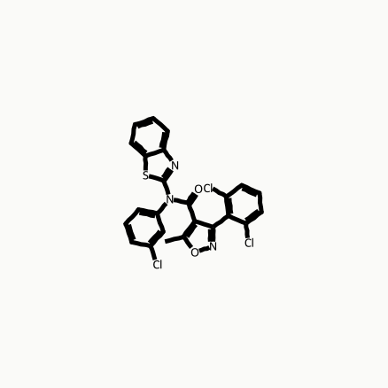 Cc1onc(-c2c(Cl)cccc2Cl)c1C(=O)N(c1cccc(Cl)c1)c1nc2ccccc2s1